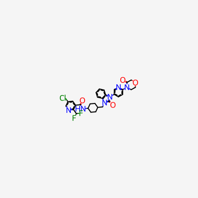 O=C(NC1CCC(Cn2c(=O)n(-c3ccc(N4CCOCC4=O)nc3)c3ccccc32)CC1)c1cc(Cl)cnc1C(F)F